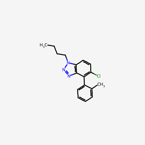 CCCCn1nnc2c(-c3ccccc3C)c(Cl)ccc21